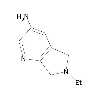 CCN1Cc2cc(N)cnc2C1